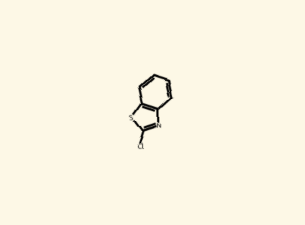 Clc1nc2[c]cccc2s1